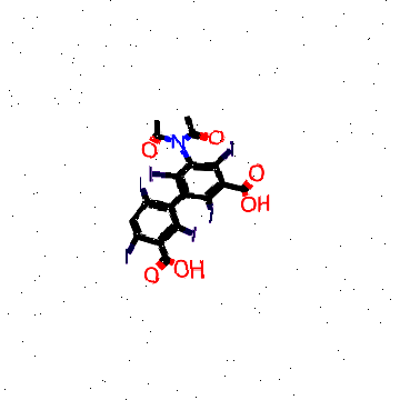 CC(=O)N(C(C)=O)c1c(I)c(C(=O)O)c(I)c(-c2c(I)cc(I)c(C(=O)O)c2I)c1I